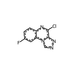 Fc1ccc2nc(Cl)c3nncn3c2c1